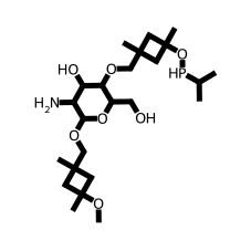 COC1(C)CC(C)(COC2OC(CO)C(OCC3(C)CC(C)(OPC(C)C)C3)C(O)C2N)C1